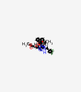 CCCSc1nc(N[C@@H]2C[C@H]2c2ccc(F)c(F)c2)c2nnn([C@@H]3C[C@H](CCC(=O)OCC)O[C@H]3CO[Si](c3ccccc3)(c3ccccc3)C(C)(C)C)c2n1